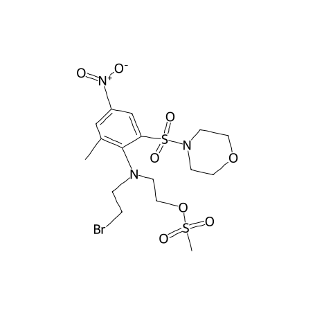 Cc1cc([N+](=O)[O-])cc(S(=O)(=O)N2CCOCC2)c1N(CCBr)CCOS(C)(=O)=O